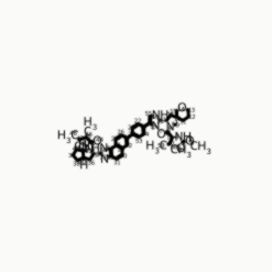 COC(=O)N[C@H](C(=O)N1C[C@]2(CCCOC2)C[C@H]1c1nc(-c2ccc(-c3ccc4c(ccc5nc([C@@H]6C[C@@H]7CCC[C@@H]7N6C(=O)[C@@H](C)C(C)C)[nH]c54)c3)cc2)c[nH]1)C(C)C